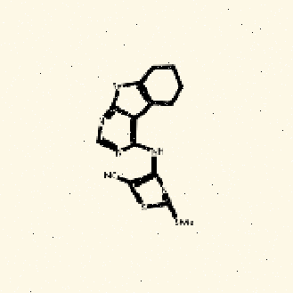 CSc1nc(Nc2ncnc3[se]c4c(c23)CCCC4)c(C#N)s1